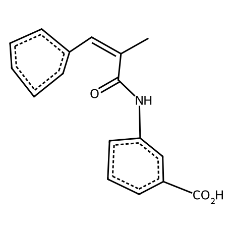 CC(=Cc1ccccc1)C(=O)Nc1cccc(C(=O)O)c1